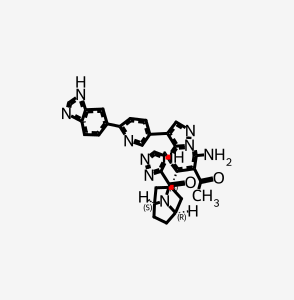 CC(=O)c1c([C@@H]2C[C@H]3CC[C@@H](C2)N3C(=O)c2nnc[nH]2)nc2c(-c3ccc(-c4ccc5nc[nH]c5c4)nc3)cnn2c1N